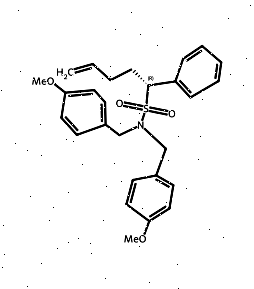 C=CCC[C@H](c1ccccc1)S(=O)(=O)N(Cc1ccc(OC)cc1)Cc1ccc(OC)cc1